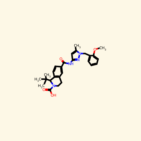 COc1ccccc1Cn1nc(NC(=O)c2ccc3c(c2)CCN(C(=O)O)C3C(C)(C)C)cc1C